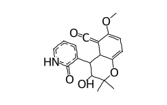 COC1=CC=C2OC(C)(C)C(O)C(c3ccc[nH]c3=O)C2C1=C=O